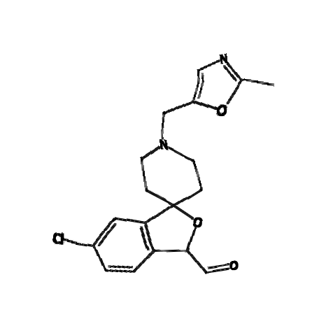 Cc1ncc(CN2CCC3(CC2)OC(C=O)c2ccc(Cl)cc23)o1